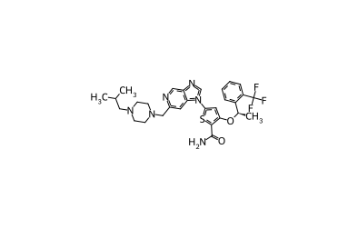 CC(C)CN1CCN(Cc2cc3c(cn2)ncn3-c2cc(O[C@H](C)c3ccccc3C(F)(F)F)c(C(N)=O)s2)CC1